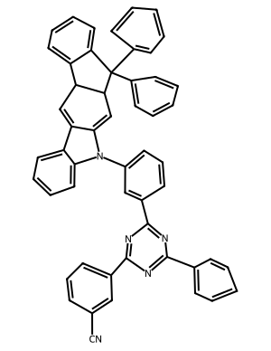 N#Cc1cccc(-c2nc(-c3ccccc3)nc(-c3cccc(-n4c5c(c6ccccc64)=CC4c6ccccc6C(c6ccccc6)(c6ccccc6)C4C=5)c3)n2)c1